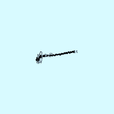 CCC=CCC=CCC=CCC=CCC=CCC=CCCC(=O)NCCOCCNC(=O)c1c[n+]([O-])c(C)cn1